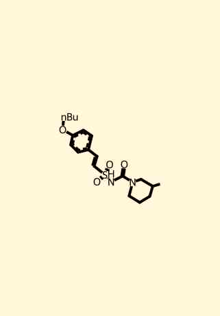 CCCCOc1ccc(C=CS(=O)(=O)NC(=O)N2CCCC(C)C2)cc1